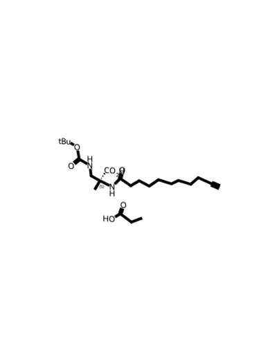 C#CCCCCCCCCC(=O)N[C@@](C)(CNC(=O)OC(C)(C)C)C(=O)O.CCC(=O)O